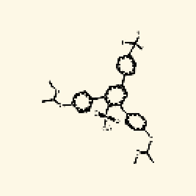 COC(C)Oc1ccc(-c2cc(-c3ccc(C(F)(F)F)cc3)cc(-c3ccc(OC(C)OC)cc3)c2S(=O)(=O)O)cc1